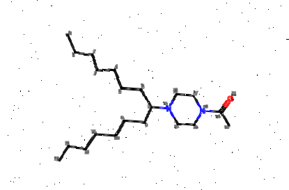 CCCCCCCC(CCCCCCC)N1CCN(C(C)=O)CC1